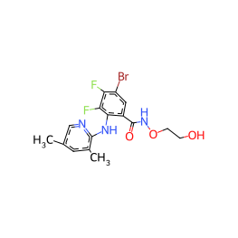 Cc1cnc(Nc2c(C(=O)NOCCO)cc(Br)c(F)c2F)c(C)c1